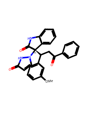 COc1cccc(C(CC(=O)c2ccccc2)[C@@]2(n3ccc(=O)[nH]3)C(=O)Nc3ccccc32)c1